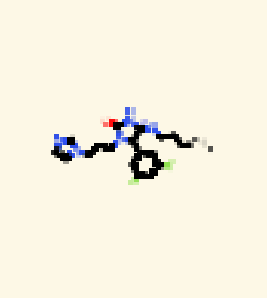 CCCC/N=C1/NC(=O)N(CCCn2ccnc2)C1c1cc(F)cc(F)c1